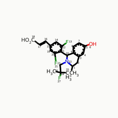 CC1Cc2cc(O)ccc2C(c2c(F)cc(/C=C/C(=O)O)cc2F)N1CC(C)(C)F